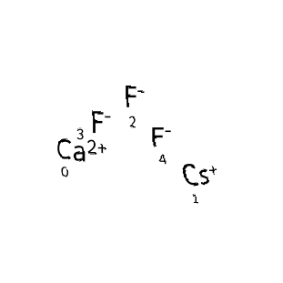 [Ca+2].[Cs+].[F-].[F-].[F-]